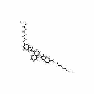 CCCCCCCCCc1ccc2oc(-c3ccc(-c4nc5cc(CCCCCCCCC)ccc5o4)c4ccccc34)nc2c1